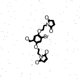 O=Cc1cc(OCCN2C(=O)C=CC2=O)c(Br)cc1OCCN1C(=O)C=CC1=O